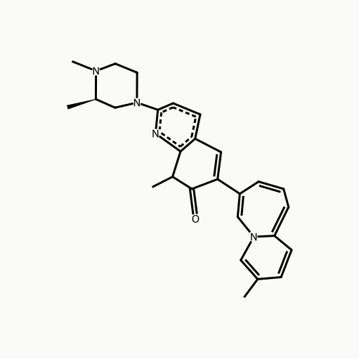 CC1=CN2C=C(C3=Cc4ccc(N5CCN(C)[C@H](C)C5)nc4C(C)C3=O)C=CC=C2C=C1